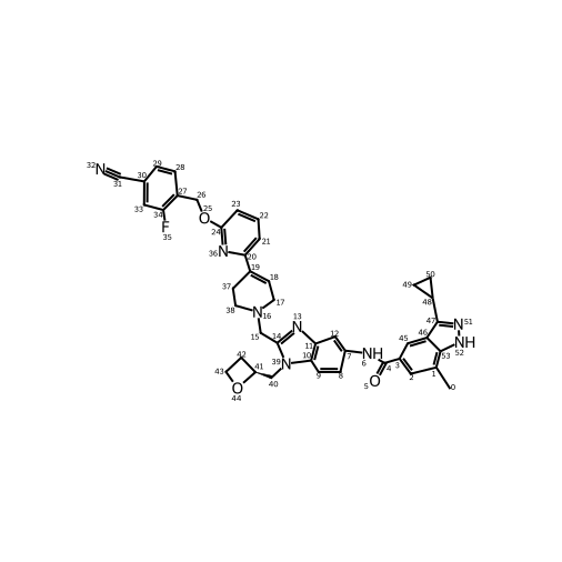 Cc1cc(C(=O)Nc2ccc3c(c2)nc(CN2CC=C(c4cccc(OCc5ccc(C#N)cc5F)n4)CC2)n3C[C@@H]2CCO2)cc2c(C3CC3)n[nH]c12